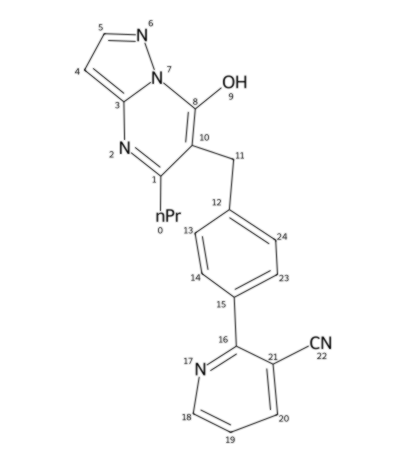 CCCc1nc2ccnn2c(O)c1Cc1ccc(-c2ncccc2C#N)cc1